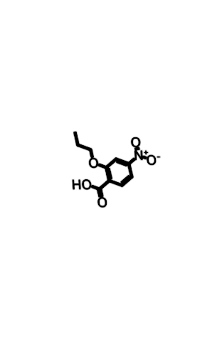 CCCOc1cc([N+](=O)[O-])ccc1C(=O)O